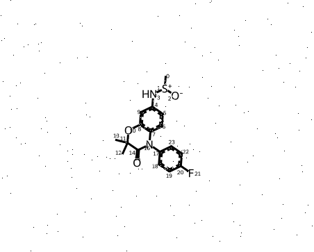 C[S+]([O-])Nc1ccc2c(c1)OC(C)(C)C(=O)N2c1ccc(F)cc1